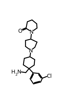 NCC1(c2cccc(Cl)c2)CCC(N2CCC(N3CCCCC3=O)CC2)CC1